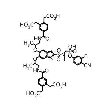 CC(CNC(=O)c1ccc(CC(=O)O)c(CC(=O)O)c1)Oc1cc2cc(S(=O)(=O)NCP(=O)(O)Oc3ccc(C#N)c(F)c3)sc2cc1OC(C)CNC(=O)c1ccc(CC(=O)O)c(CC(=O)O)c1